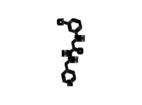 O=C(CNc1cccc(Cl)c1)NNCc1ccncc1